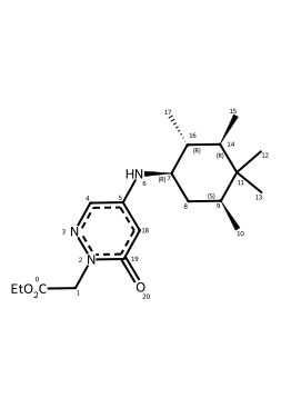 CCOC(=O)Cn1ncc(N[C@@H]2C[C@H](C)C(C)(C)[C@H](C)[C@H]2C)cc1=O